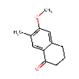 COc1cc2c(cc1C)C(=O)CCC2